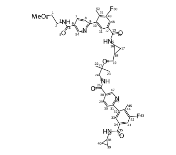 COCCNC(=O)c1ccc(-c2cc(C(=O)NC3CC3COC(C)(C)CNC(=O)c3ccc(-c4cc(C(=O)NC5CC5)cc(F)c4C)nc3)cc(F)c2C)nc1